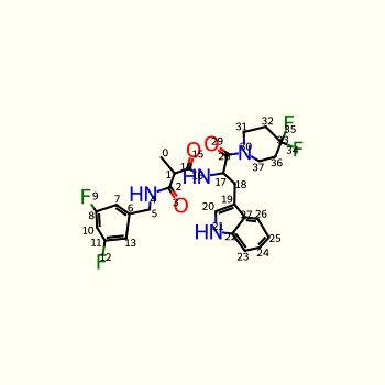 CC(C(=O)NCc1cc(F)cc(F)c1)C(=O)NC(Cc1c[nH]c2ccccc12)C(=O)N1CCC(F)(F)CC1